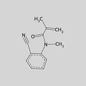 C=C(C)C(=O)N(C)c1ccccc1C#N